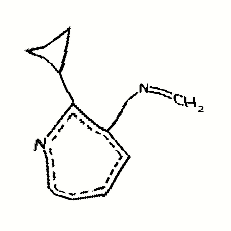 C=Nc1cccnc1C1CC1